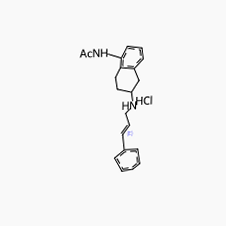 CC(=O)Nc1cccc2c1CCC(NC/C=C/c1ccccc1)C2.Cl